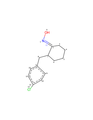 O/N=C1\CCCCC1Cc1ccc(Cl)cc1